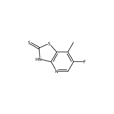 Cc1c(F)cnc2[nH]c(=S)sc12